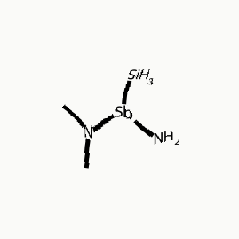 C[N](C)[Sb]([NH2])[SiH3]